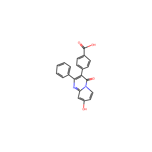 O=C(O)c1ccc(-c2c(-c3ccccc3)nc3cc(O)ccn3c2=O)cc1